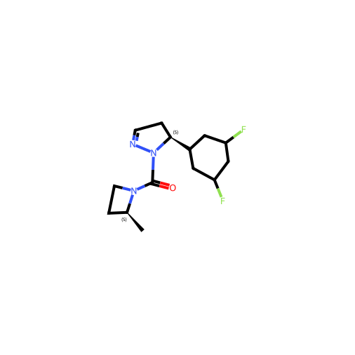 C[C@H]1CCN1C(=O)N1N=CC[C@H]1C1CC(F)CC(F)C1